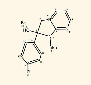 CCCCN1c2nccc[n+]2CC1(O)c1ccc(Cl)cc1.[Br-]